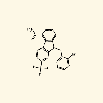 NC(=O)c1cccc2c1c1[c]cc(C(F)(F)F)cc1n2Cc1ccccc1Br